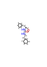 O=C[C@H](Cc1ccccc1)NC(=O)NCCc1ccccc1